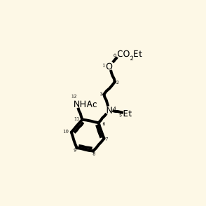 CCOC(=O)OCCN(CC)c1ccccc1NC(C)=O